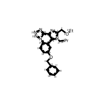 CCOCc1nc2c(c3cc(OCc4ccccc4)ccc3n3nnnc23)n1CC(C)C